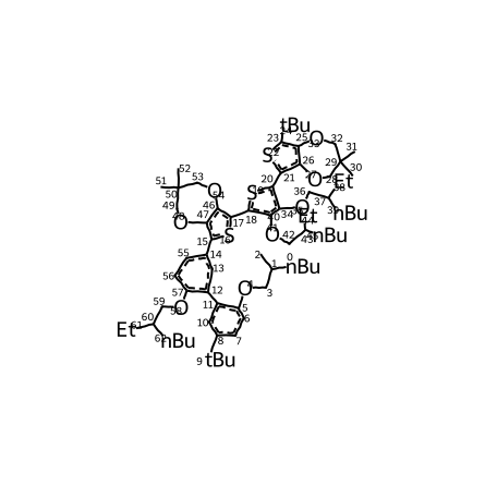 CCCCC(C)COc1ccc(C(C)(C)C)cc1-c1cc(-c2sc(-c3sc(-c4sc(C(C)(C)C)c5c4OCC(C)(C)CO5)c(OCC(CC)CCCC)c3OCC(CC)CCCC)c3c2OCC(C)(C)CO3)ccc1OCC(CC)CCCC